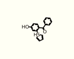 O=C(c1ccccc1)c1ccc(O)cc1[SH]1C=CC=C1